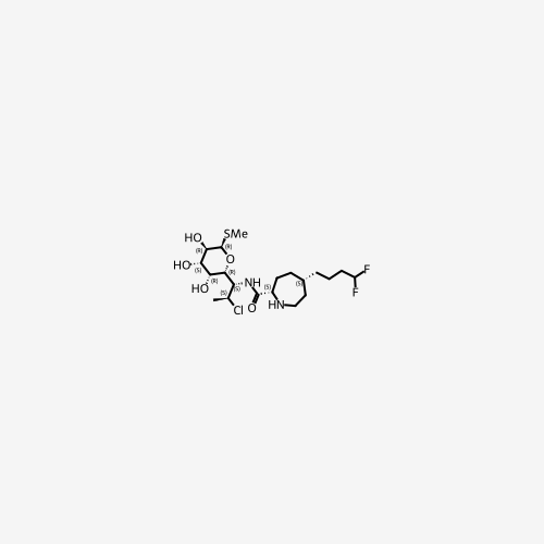 CS[C@H]1O[C@H]([C@H](NC(=O)[C@@H]2CC[C@H](CCCC(F)F)CCN2)[C@H](C)Cl)[C@H](O)[C@H](O)[C@H]1O